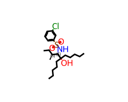 CCCCCC(O)(CCCCC)[C@@H](NS(=O)(=O)c1cccc(Cl)c1)[C@@H](C)CC